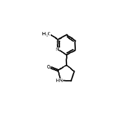 Cc1cccc(C2CCNC2=O)n1